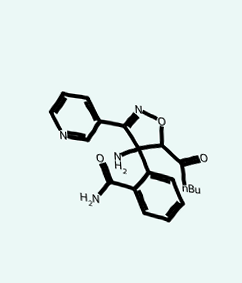 CCCCC(=O)C1ON=C(c2cccnc2)C1(N)c1ccccc1C(N)=O